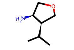 CC(C)[C@@H]1COC[C@@H]1N